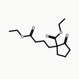 CCOC(=O)CCCC1(C(=O)OCC)CCCC1=O